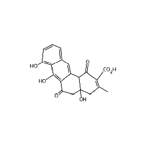 CC1=C(C(=O)O)C(=O)C2c3cc4cccc(O)c4c(O)c3C(=O)CC2(O)C1